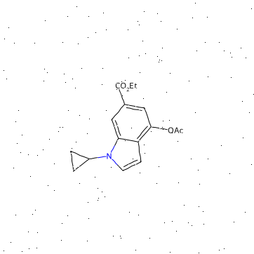 CCOC(=O)c1cc(OC(C)=O)c2ccn(C3CC3)c2c1